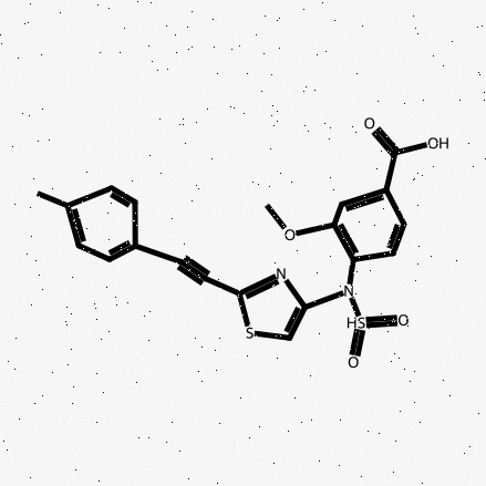 COc1cc(C(=O)O)ccc1N(c1csc(C#Cc2ccc(C)cc2)n1)[SH](=O)=O